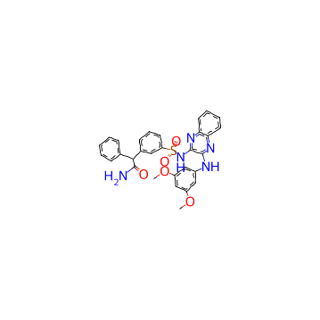 COc1cc(Nc2nc3ccccc3nc2NS(=O)(=O)c2cccc(C(C(N)=O)c3ccccc3)c2)cc(OC)c1